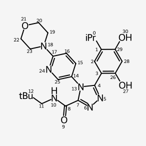 CC(C)c1cc(-c2nnc(C(=O)NCC(C)(C)C)n2-c2ccc(N3CCOCC3)nc2)c(O)cc1O